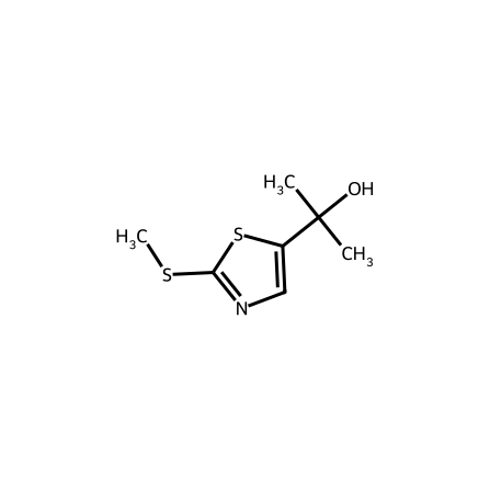 CSc1ncc(C(C)(C)O)s1